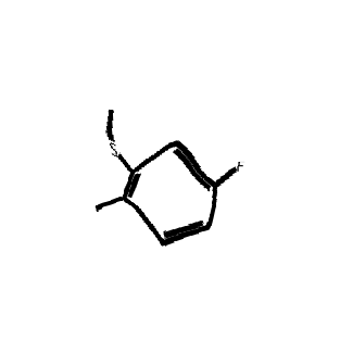 CSc1cc(F)ccc1C